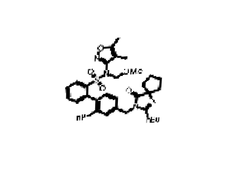 CCCCC1=NC2(CCCC2)C(=O)N1Cc1ccc(-c2ccccc2S(=O)(=O)N(COC)c2noc(C)c2C)c(CCC)c1